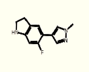 Cn1cc(-c2cc3c(cc2F)NCC3)cn1